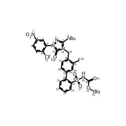 CCCCc1nn(-c2cc([N+](=O)[O-])ccc2C(F)(F)F)c(=O)n1Cc1ccc(-c2ccccc2S(=O)(=O)NC(=O)OC(C)(C)C)cc1F